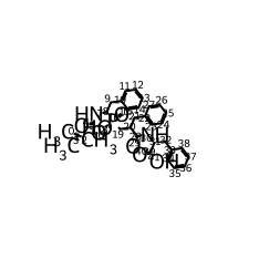 CC(C)(C)OC(=O)NC(Cc1ccccc1)P(=O)(O)CC(Cc1ccccc1)C(=O)N[C@@H](Cc1ccccc1)C(=O)O